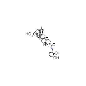 C=C(C)[C@@H]1CC[C@]2(C(=O)O)CC[C@]3(C)[C@H](CC[C@@H]4[C@@]5(C)CC[C@H](C(=O)/C=C/c6cccc(O)c6O)C(C)(C)[C@@H]5CC[C@]43C)[C@@H]12